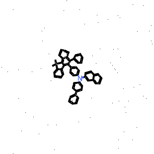 CC1(C)c2ccccc2-c2c(-c3ccc(N(c4ccc(-c5ccccc5)cc4)c4ccc5ccccc5c4)cc3)c(-c3ccccc3)c3ccccc3c21